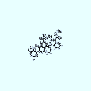 Cc1nc(C)c(C(F)(F)F)c(-c2nc3c4c(nc(S(C)(=O)=O)nc4c2F)N([C@H](C)c2cccnc2N(C(=O)OC(C)(C)C)C(=O)OC(C)(C)C)CCO3)n1